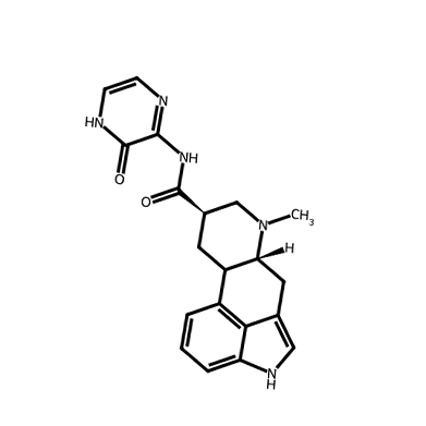 CN1C[C@H](C(=O)Nc2ncc[nH]c2=O)CC2c3cccc4[nH]cc(c34)C[C@H]21